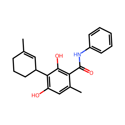 CC1=CC(c2c(O)cc(C)c(C(=O)Nc3ccccc3)c2O)CCC1